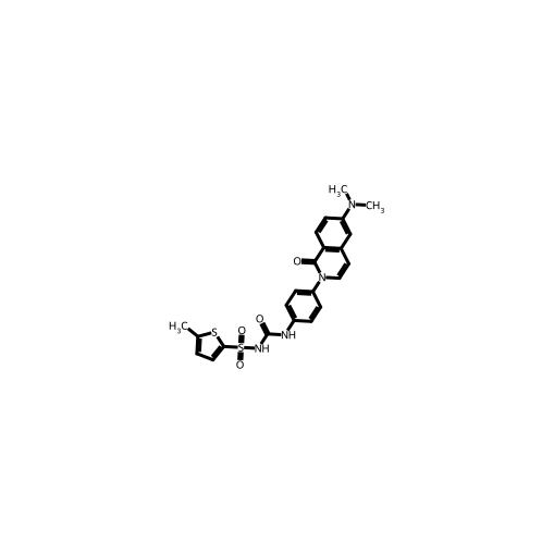 Cc1ccc(S(=O)(=O)NC(=O)Nc2ccc(-n3ccc4cc(N(C)C)ccc4c3=O)cc2)s1